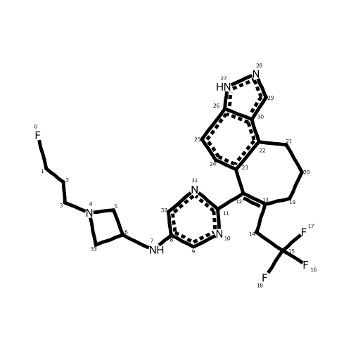 FCCCN1CC(Nc2cnc(C3=C(CC(F)(F)F)CCCc4c3ccc3[nH]ncc43)nc2)C1